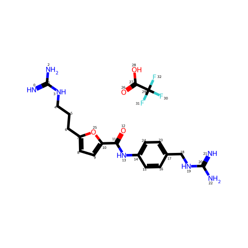 N=C(N)NCCCc1ccc(C(=O)Nc2ccc(CNC(=N)N)cc2)o1.O=C(O)C(F)(F)F